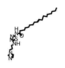 CCCCCCCCC=CCCCCCCCC(=O)Nc1nnc(NCCCn2ccnc2)s1